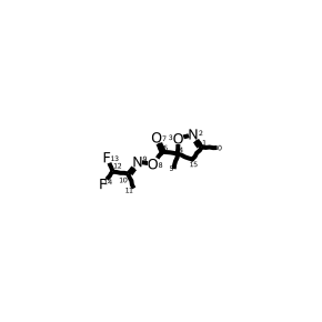 CC1=NOC(C)(C(=O)O/N=C(\C)C(F)F)C1